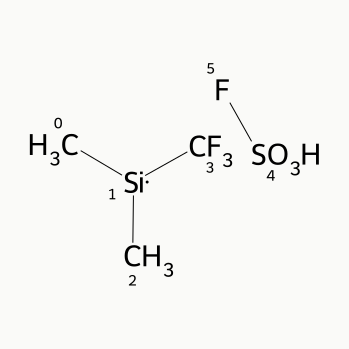 C[Si](C)C(F)(F)F.O=S(=O)(O)F